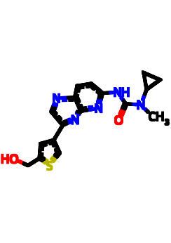 CN(C(=O)Nc1ccc2ncc(-c3csc(CO)c3)nc2n1)C1CC1